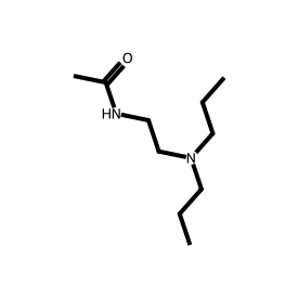 CCCN(CCC)CCNC(C)=O